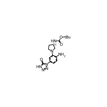 CC(C)(C)OC(=O)N[C@H]1CCN(c2cc(-n3nn[nH]c3=O)ccc2N)C1